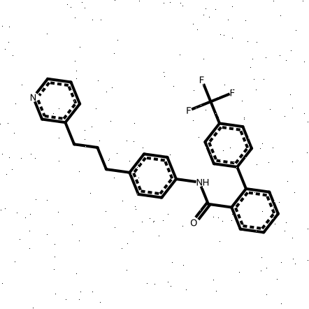 O=C(Nc1ccc(CCCc2cccnc2)cc1)c1ccccc1-c1ccc(C(F)(F)F)cc1